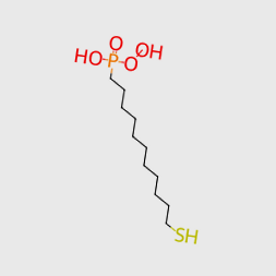 O=P(O)(CCCCCCCCCCCS)OO